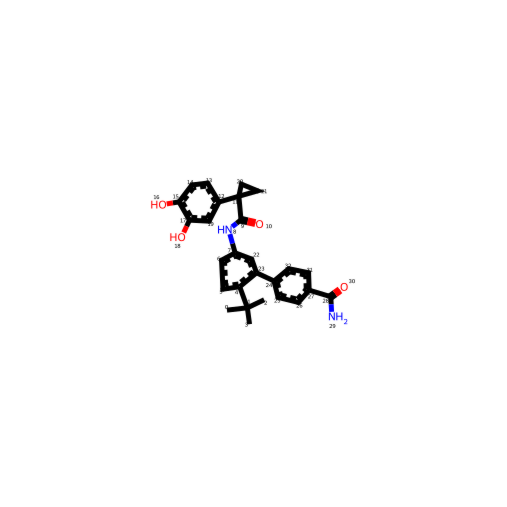 CC(C)(C)c1ccc(NC(=O)C2(c3ccc(O)c(O)c3)CC2)cc1-c1ccc(C(N)=O)cc1